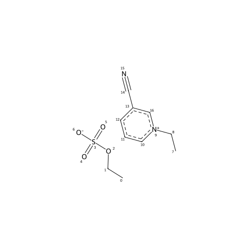 CCOS(=O)(=O)[O-].CC[n+]1cccc(C#N)c1